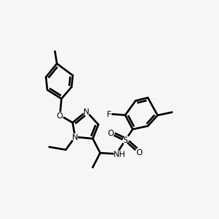 CCn1c(C(C)NS(=O)(=O)c2cc(C)ccc2F)cnc1Oc1ccc(C)cc1